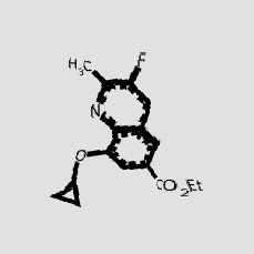 CCOC(=O)c1cc(OC2CC2)c2nc(C)c(F)cc2c1